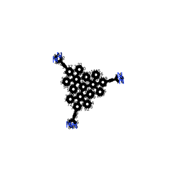 C(#Cc1cncnc1)c1c#cc(-c2c(-c3ccccc3)cc(-c3cc(-c4cc(-c5ccccc5)c(-c5ccc(C#Cc6cncnc6)cc5)c(-c5ccccc5)c4-c4ccccc4)cc(-c4cc(-c5ccccc5)c(-c5ccc(C#Cc6cncnc6)cc5)c(-c5ccccc5)c4-c4ccccc4)c3)c(-c3ccccc3)c2-c2ccccc2)cc1